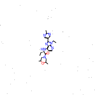 CC[C@@H](Nc1ccnc2c1nc(-c1cnc(C)nc1)n2CC)C(=O)N1CC(C)OC(C)C1